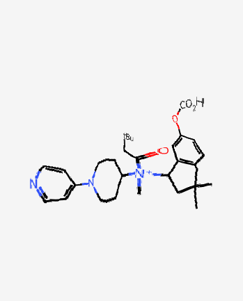 CC(C)(C)CC(=O)[N+](C)(C1CCN(c2ccncc2)CC1)C1CC(C)(C)c2ccc(OC(=O)O)cc21